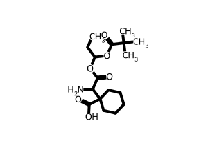 CCC(OC(=O)C(N)C1(C(=O)O)CCCCC1)OC(=O)C(C)(C)C